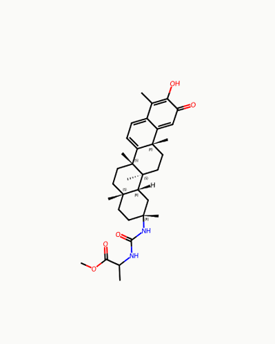 COC(=O)C(C)NC(=O)N[C@]1(C)CC[C@]2(C)CC[C@]3(C)C4=CC=C5C(=CC(=O)C(O)=C5C)[C@]4(C)CC[C@@]3(C)[C@@H]2C1